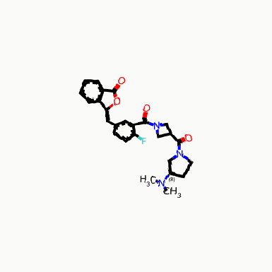 CN(C)[C@@H]1CCN(C(=O)C2CN(C(=O)c3cc(C=C4OC(=O)c5ccccc54)ccc3F)C2)C1